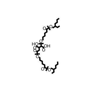 CCCCC(CC)COC(C)(C)C(=O)CCCCCOC(C)(C)C(=O)CC(C(=O)O)C(C(=O)O)C(C)(C)OCCCCCC(=O)C(C)(C)OCC(CC)CCCC